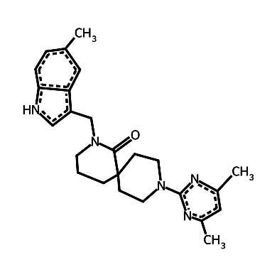 Cc1ccc2[nH]cc(CN3CCCC4(CCN(c5nc(C)cc(C)n5)CC4)C3=O)c2c1